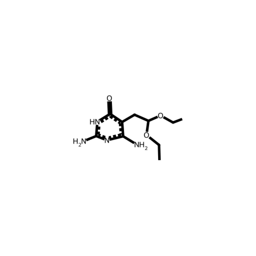 CCOC(Cc1c(N)nc(N)[nH]c1=O)OCC